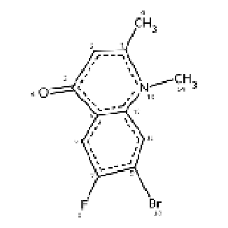 Cc1cc(=O)c2cc(F)c(Br)cc2n1C